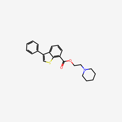 O=C(OCCN1CCCCC1)c1cccc2c(-c3ccccc3)csc12